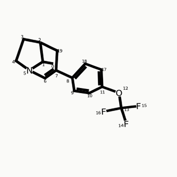 CC1C2CCN1C=C(c1ccc(OC(F)(F)F)cc1)C2